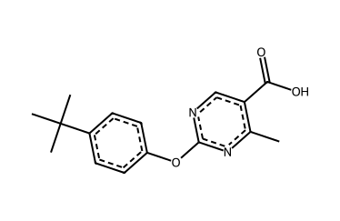 Cc1nc(Oc2ccc(C(C)(C)C)cc2)ncc1C(=O)O